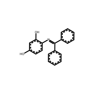 Oc1ccc(N=C(c2ccccc2)c2ccccc2)c(O)c1